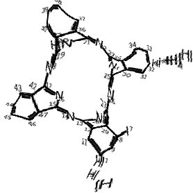 I.I.I.I.I.I.I.Ic1cccc2c3nc4nc(nc5[nH]c(nc6nc(nc([nH]3)c12)-c1ccccc1-6)c1ccccc51)-c1ccccc1-4